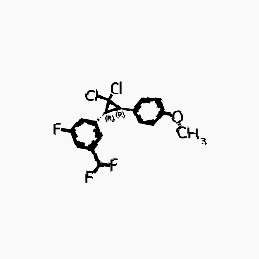 COc1ccc([C@H]2[C@H](c3cc(F)cc(C(F)F)c3)C2(Cl)Cl)cc1